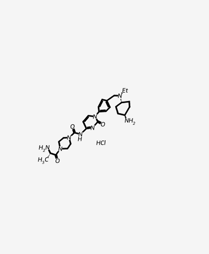 CCN(Cc1ccc(-n2ccc(NC(=O)N3CCN(C(=O)[C@H](C)N)CC3)nc2=O)cc1)[C@H]1CC[C@H](N)CC1.Cl